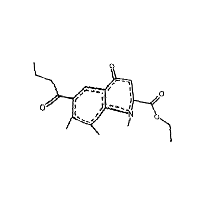 CCCC(=O)c1cc2c(=O)cc(C(=O)OCC)n(C)c2c(C)c1C